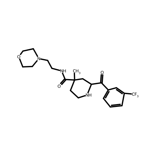 CC1(C(=O)NCCN2CCOCC2)CCNC(C(=O)c2cccc(C(F)(F)F)c2)C1